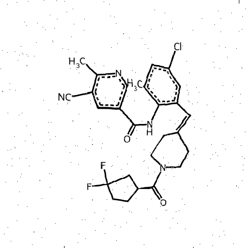 Cc1cc(Cl)cc(C=C2CCN(C(=O)[C@H]3CCC(F)(F)C3)CC2)c1NC(=O)c1cnc(C)c(C#N)c1